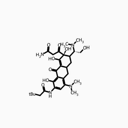 CN(C)c1cc(NC(=O)CC(C)(C)C)c(O)c2c1CC1CC([C@@H](CO)N(C)C)[C@@](O)(C(=O)CC(N)=O)C(O)=C1C2=O